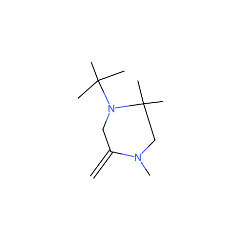 C=C1CN(C(C)(C)C)C(C)(C)CN1C